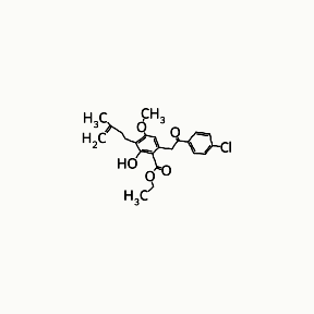 C=C(C)CCc1c(OC)cc(CC(=O)c2ccc(Cl)cc2)c(C(=O)OCC)c1O